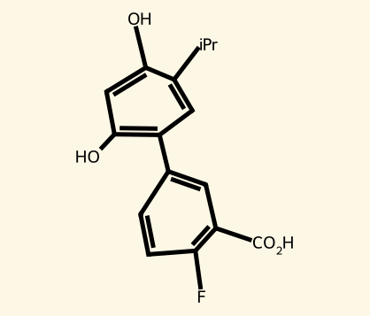 CC(C)c1cc(-c2ccc(F)c(C(=O)O)c2)c(O)cc1O